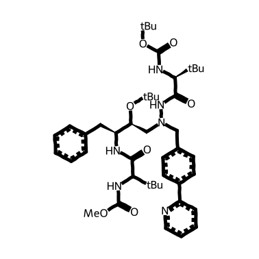 COC(=O)NC(C(=O)N[C@@H](Cc1ccccc1)[C@H](CN(Cc1ccc(-c2ccccn2)cc1)NC(=O)[C@@H](NC(=O)OC(C)(C)C)C(C)(C)C)OC(C)(C)C)C(C)(C)C